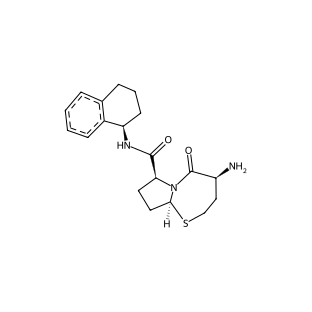 N[C@H]1CCS[C@H]2CC[C@@H](C(=O)N[C@@H]3CCCc4ccccc43)N2C1=O